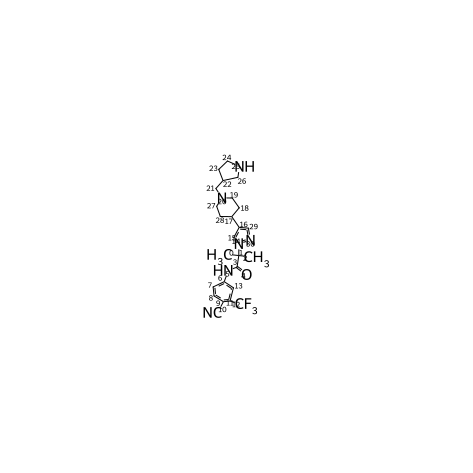 CC(C)(C(=O)Nc1ccc(C#N)c(C(F)(F)F)c1)n1cc(C2CCN(CC3CCNC3)CC2)cn1